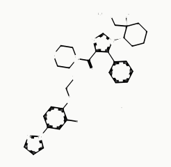 COC[C@]1(O)CCCC[C@H]1n1cnc(C(=O)N2CCNC[C@H]2CCOc2ccc(-n3cccn3)cc2F)c1-c1ccccc1.Cl.Cl